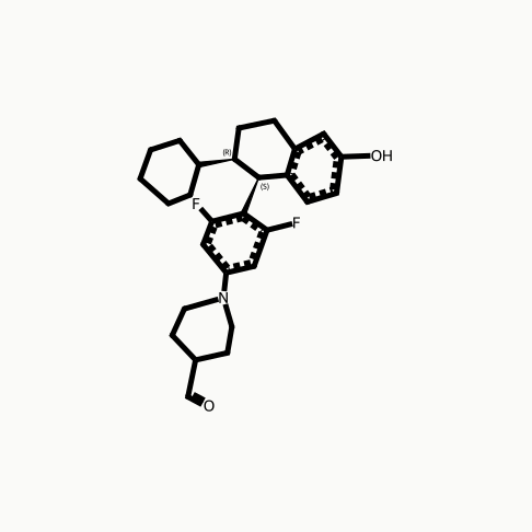 O=CC1CCN(c2cc(F)c([C@@H]3c4ccc(O)cc4CC[C@@H]3C3CCCCC3)c(F)c2)CC1